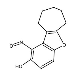 O=Nc1c(O)ccc2oc3c(c12)CCCCC3